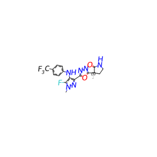 Cn1nc(-c2nnc([C@]3(C)CCNC3=O)o2)c(Nc2ccc(C(F)(F)F)cc2)c1F